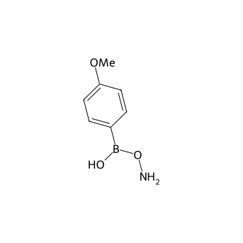 COc1ccc(B(O)ON)cc1